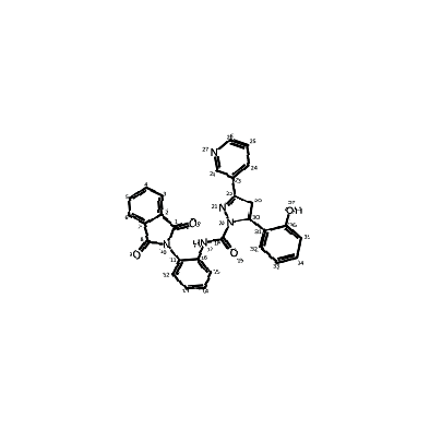 O=C1c2ccccc2C(=O)N1c1ccccc1NC(=O)N1N=C(c2cccnc2)CC1c1ccccc1O